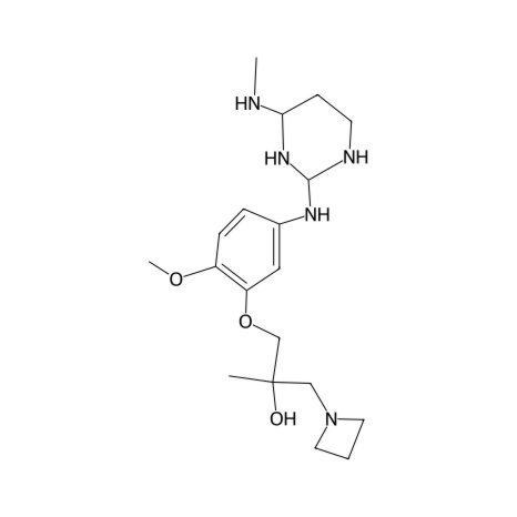 CNC1CCNC(Nc2ccc(OC)c(OCC(C)(O)CN3CCC3)c2)N1